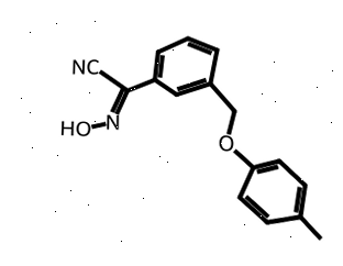 Cc1ccc(OCc2cccc(C(C#N)=NO)c2)cc1